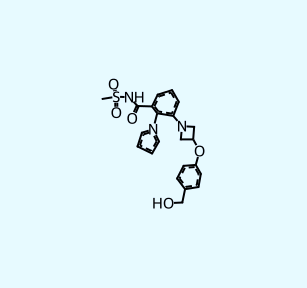 CS(=O)(=O)NC(=O)c1cccc(N2CC(Oc3ccc(CO)cc3)C2)c1-n1cccc1